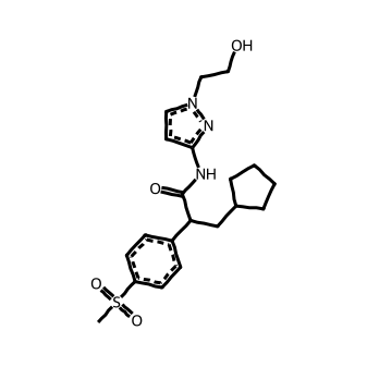 CS(=O)(=O)c1ccc(C(CC2CCCC2)C(=O)Nc2ccn(CCO)n2)cc1